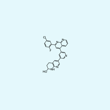 OC1CCc2cc(-c3cncc(-c4cc(-c5cc(Cl)ccc5F)nc5ncccc45)c3)cnc2N1